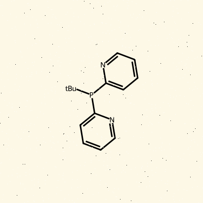 CC(C)(C)P(c1ccccn1)c1ccccn1